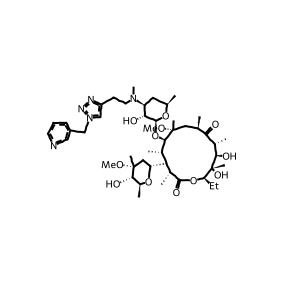 CC[C@H]1OC(=O)[C@H](C)C([C@H]2C[C@@](C)(OC)[C@@H](O)[C@H](C)O2)[C@H](C)[C@@H](O[C@@H]2O[C@H](C)C[C@H](N(C)CCc3cn(Cc4cccnc4)nn3)[C@H]2O)[C@](C)(OC)C[C@@H](C)C(=O)[C@H](C)[C@@H](O)[C@]1(C)O